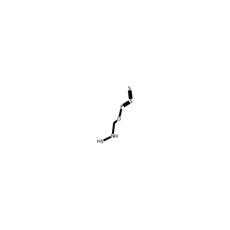 S=S=POCNS